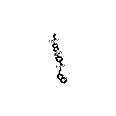 C=CC(=O)Nc1cc2c(s1)CN(S(=O)(=O)c1ccc(C(=O)NCCc3ccc4cccnc4c3)cc1)C2